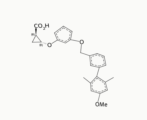 COc1cc(C)c(-c2cccc(COc3cccc(O[C@@H]4C[C@H]4C(=O)O)c3)c2)c(C)c1